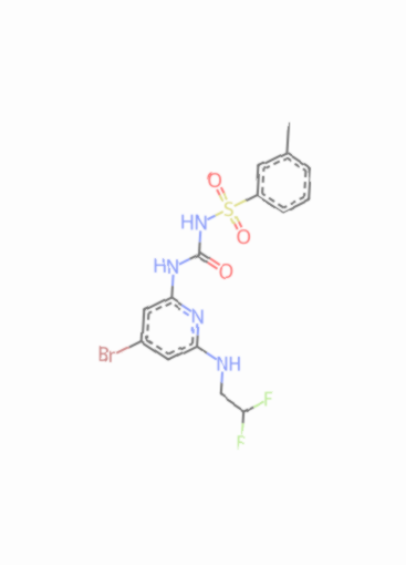 Cc1cccc(S(=O)(=O)NC(=O)Nc2cc(Br)cc(NCC(F)F)n2)c1